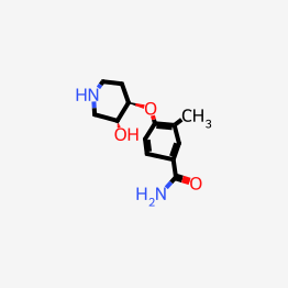 Cc1cc(C(N)=O)ccc1O[C@@H]1CCNC[C@H]1O